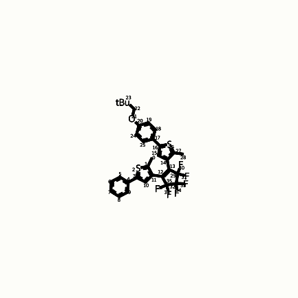 Cc1sc(-c2ccccc2)cc1C1=C(c2cc(-c3ccc(OCC(C)(C)C)cc3)sc2C)C(F)(F)C(F)(F)C1(F)F